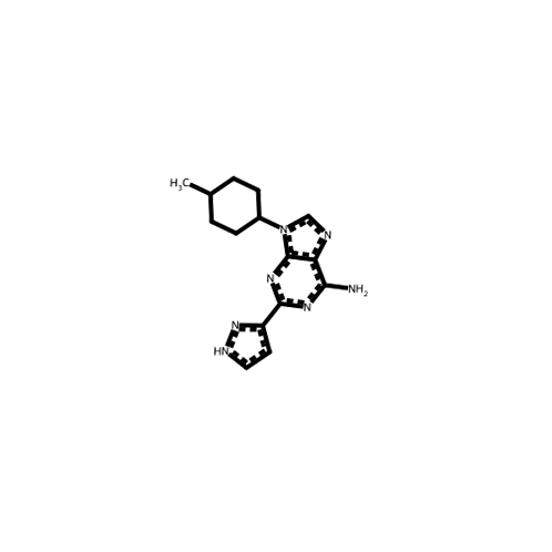 CC1CCC(n2cnc3c(N)nc(-c4cc[nH]n4)nc32)CC1